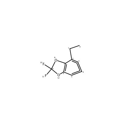 CCC1=C=C=CC2=C1OC(F)(F)O2